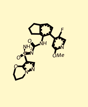 COc1cc(-c2ccc3c(c2NC(=O)N=[S@@](N)(=O)c2cnn4c2OCCC4)CCC3)c(F)cn1